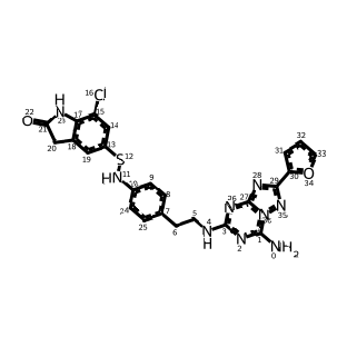 Nc1nc(NCCc2ccc(NSc3cc(Cl)c4c(c3)CC(=O)N4)cc2)nc2nc(-c3ccco3)nn12